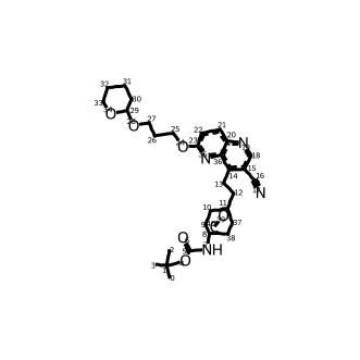 CC(C)(C)OC(=O)NC12CCC(CCc3c(C#N)cnc4ccc(OCCCOC5CCCCO5)nc34)(CC1)OC2